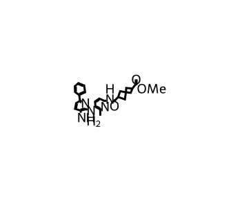 COC(=O)C1CC2(CC(C(=O)Nc3ccc(Nc4nc(-c5ccccc5)ccc4N)c(C)n3)C2)C1